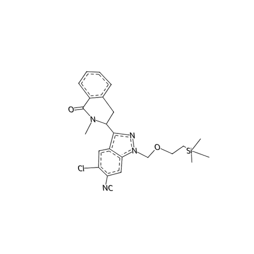 [C-]#[N+]c1cc2c(cc1Cl)c(C1Cc3ccccc3C(=O)N1C)nn2COCC[Si](C)(C)C